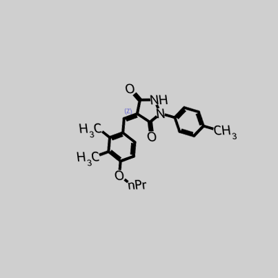 CCCOc1ccc(/C=C2/C(=O)NN(c3ccc(C)cc3)C2=O)c(C)c1C